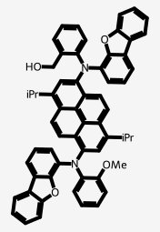 COc1ccccc1N(c1cc(C(C)C)c2ccc3c(N(c4ccccc4CO)c4cccc5c4oc4ccccc45)cc(C(C)C)c4ccc1c2c43)c1cccc2c1oc1ccccc12